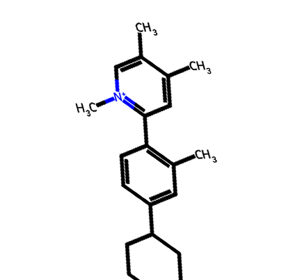 Cc1cc(-c2ccc(C3CCCCC3)cc2C)[n+](C)cc1C